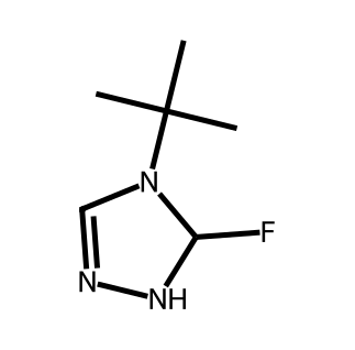 CC(C)(C)N1C=NNC1F